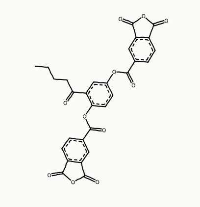 CCCCC(=O)c1cc(OC(=O)c2ccc3c(c2)C(=O)OC3=O)ccc1OC(=O)c1ccc2c(c1)C(=O)OC2=O